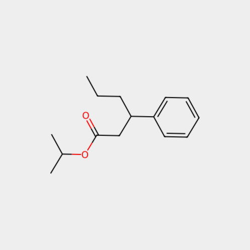 CCCC(CC(=O)OC(C)C)c1ccccc1